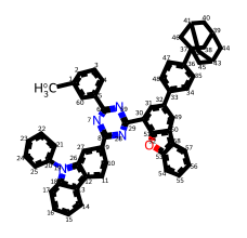 Cc1cccc(-c2nc(-c3ccc4c5ccccc5n(-c5ccccc5)c4c3)nc(-c3cc(-c4ccc(C56CC7CC(CC(C7)C5)C6)cc4)cc4c3oc3ccccc34)n2)c1